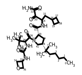 CCCCCC(C)(C)[C@H]1C[C@@H](C(=O)NC(CC2CCC2)C(=O)C(N)=O)N(C(=O)[C@@H](NC(=O)NC2COC2)C(C)(C)C)C1